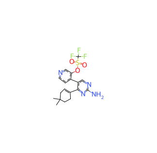 CC1(C)CC=C(c2nc(N)ncc2-c2ccncc2OS(=O)(=O)C(F)(F)F)CC1